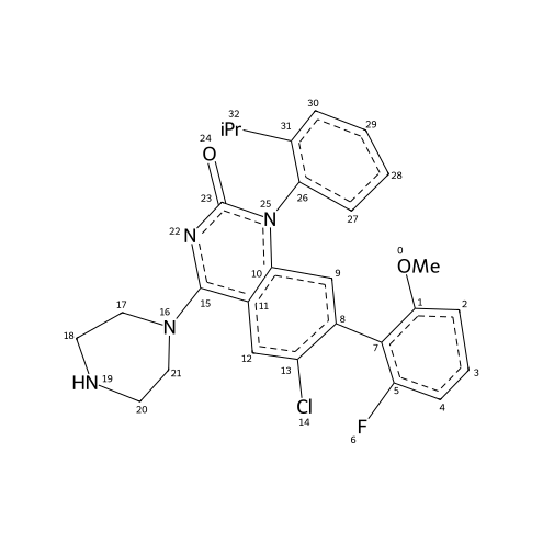 COc1cccc(F)c1-c1cc2c(cc1Cl)c(N1CCNCC1)nc(=O)n2-c1ccccc1C(C)C